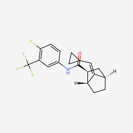 O=C(Nc1ccc(F)c(C(F)(F)F)c1)[C@H]1C[C@H]2CC[C@H]1/C2=C\C1CC1